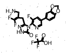 NCC(Cc1n[nH]c(=O)n1-c1ncc(-c2ccc3c(c2)OCO3)cc1F)=C(F)F.O=C(O)C(F)(F)F